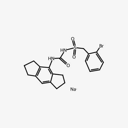 O=C(Nc1c2c(cc3c1CCC3)CCC2)NS(=O)(=O)Cc1ccccc1Br.[Na]